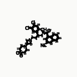 CN(C[C@@H](CCN1CC(N2CCS(=O)(=O)CC2)C1)c1ccc(Cl)c(Cl)c1)C(=O)c1cc(C#N)cc2ccccc12